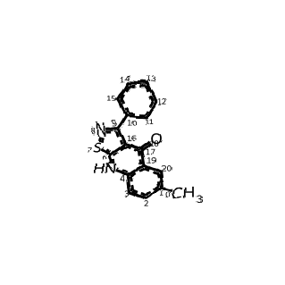 Cc1ccc2[nH]c3snc(-c4ccccc4)c3c(=O)c2c1